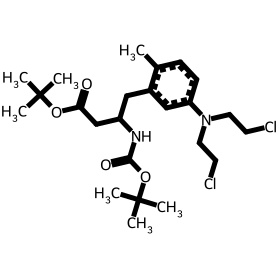 Cc1ccc(N(CCCl)CCCl)cc1CC(CC(=O)OC(C)(C)C)NC(=O)OC(C)(C)C